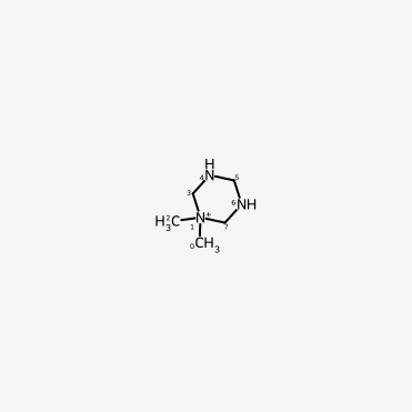 C[N+]1(C)CNCNC1